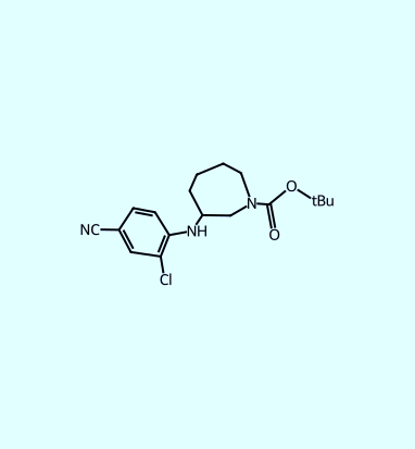 CC(C)(C)OC(=O)N1CCCCC(Nc2ccc(C#N)cc2Cl)C1